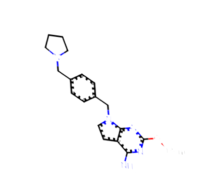 CCC[C@H](C)Oc1nc(N)c2ccn(Cc3ccc(CN4CCCC4)cc3)c2n1